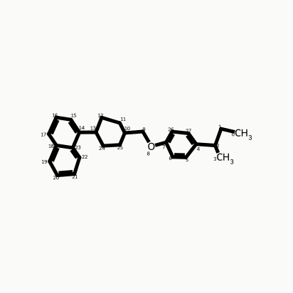 CCC(C)c1ccc(OCC2CCC(c3cccc4ccccc34)CC2)cc1